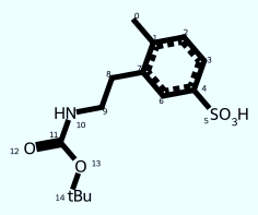 Cc1ccc(S(=O)(=O)O)cc1CCNC(=O)OC(C)(C)C